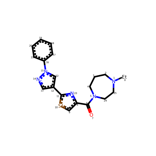 CCN1CCCN(C(=O)c2csc(-c3cnn(-c4ccccc4)c3)n2)CC1